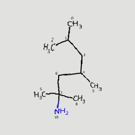 CC(C)CC(C)CC(C)(C)N